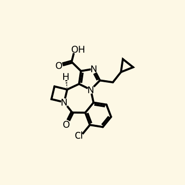 O=C(O)c1nc(CC2CC2)n2c1[C@@H]1CCN1C(=O)c1c(Cl)cccc1-2